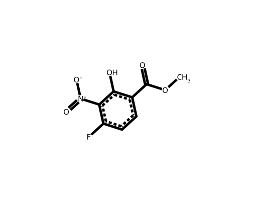 COC(=O)c1ccc(F)c([N+](=O)[O-])c1O